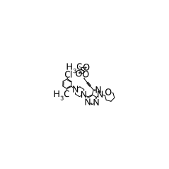 Cc1ccc(Cl)cc1N1CCN(c2ncnc3c2c(C#CCOS(C)(=O)=O)nn3C2CCCCO2)CC1